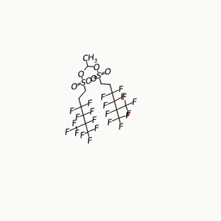 CC(OS(=O)(=O)CCC(F)(F)C(F)(F)C(F)(C(F)(F)F)C(F)(F)F)OS(=O)(=O)CCC(F)(F)C(F)(F)C(F)(C(F)(F)F)C(F)(F)F